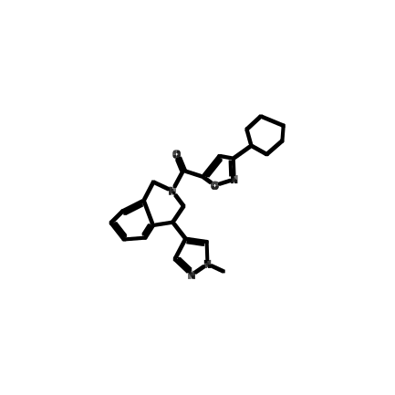 Cn1cc(C2CN(C(=O)c3cc(C4CCCCC4)no3)Cc3ccccc32)cn1